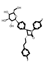 O=C1[C@H](CCCc2ccc(F)cc2)[C@@H](c2ccc([C@@H]3O[C@H](CO)[C@@H](O)[C@H](O)[C@H]3O)cc2)N1c1ccc(F)cc1